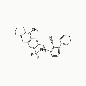 COc1cc(/C=C/c2cccc(C3=CCCC=C3)c2C#N)c(C(F)(F)P)cc1CN1CCCCC1